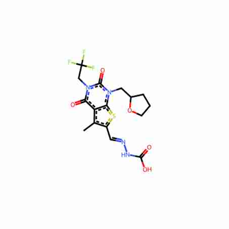 Cc1c(C=NNC(=O)O)sc2c1c(=O)n(CC(F)(F)F)c(=O)n2CC1CCCO1